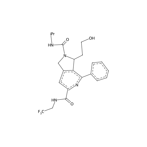 CC(C)NC(=O)N1Cc2cc(C(=O)NCC(F)(F)F)nc(-c3ccccc3)c2C1CCO